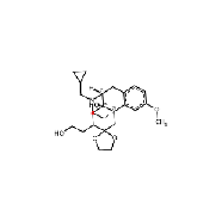 COc1ccc2c(c1)[C@]13CCN(CC4CC4)[C@H](C2)[C@]1(O)CC(CCO)C1(C3)OCCO1